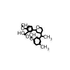 COC1=CCC(C)=CC(C(C)C2CCOC(c3ccc(OC)c(C(=O)O)c3)C2)=C1